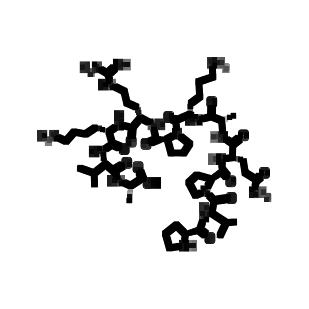 CC(C)[C@H](NC(=O)[C@H](CCCCN)NC(=O)[C@H](CCCNC(=N)N)NC(=O)[C@@H]1CCCN1C(=O)[C@H](CCCCN)NC(=O)[C@H](C)NC(=O)[C@H](CCC(N)=O)NC(=O)[C@@H]1CCCN1C(=O)[C@@H](NC(=O)[C@@H]1CCCN1)C(C)C)C(=O)N[C@@H](C)C(=O)O